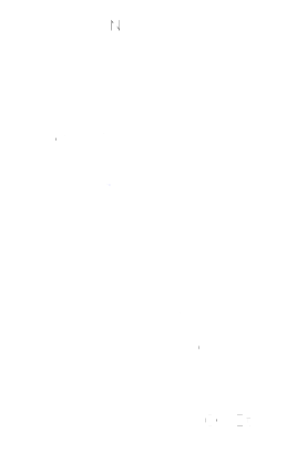 CCOC(=O)COc1ccc(/C=C/C(=O)c2cccnc2)cc1